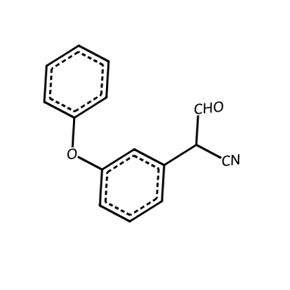 N#CC(C=O)c1cccc(Oc2ccccc2)c1